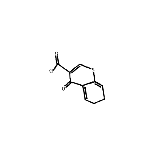 O=C(Cl)c1csc2c(c1=O)=CCCC=2